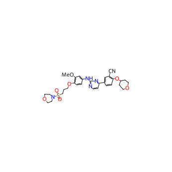 COc1cc(Nc2nccc(-c3ccc(OC4CCOCC4)c(C#N)c3)n2)ccc1OCCCS(=O)(=O)N1CCOCC1